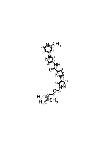 Cc1cc(-n2cc(NC(=O)c3csc(-c4cnn(COCC[Si](C)(C)C)c4)n3)cn2)ccn1